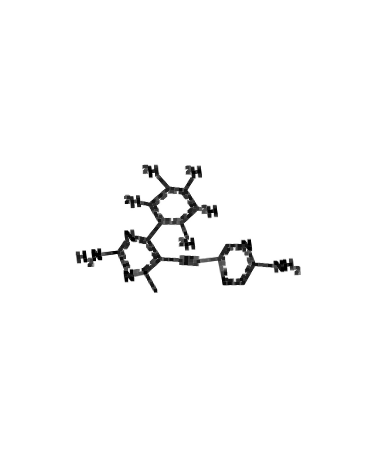 [2H]c1c([2H])c([2H])c(-c2nc(N)nc(C)c2C#Cc2ccc(N)nc2)c([2H])c1[2H]